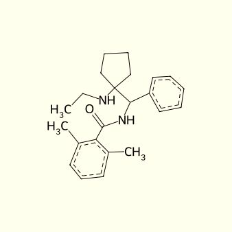 CCNC1(C(NC(=O)c2c(C)cccc2C)c2ccccc2)CCCC1